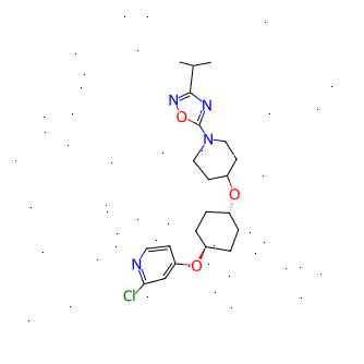 CC(C)c1noc(N2CCC(O[C@H]3CC[C@H](Oc4ccnc(Cl)c4)CC3)CC2)n1